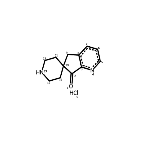 Cl.O=C1c2ncccc2CC12CCNCC2